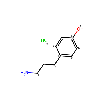 Cl.NCCCc1ccc(O)cc1